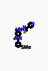 CSc1cccc(-c2nc3cc(Nc4nc(-c5ccncc5)cs4)c(C)cc3n2C)c1